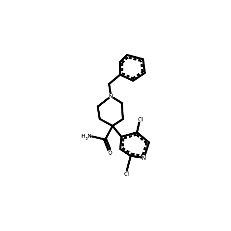 NC(=O)C1(c2cc(Cl)ncc2Cl)CCN(Cc2ccccc2)CC1